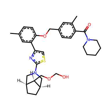 Cc1ccc(OCc2ccc(C(=O)N3CCCCC3)c(C)c2)c(-c2csc(N3C[C@H]4CC[C@@H](C3)[C@H]4COCO)n2)c1